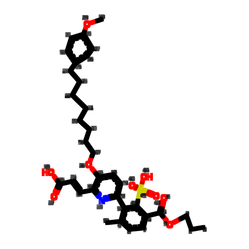 CCCOC(=O)c1ccc(C)c(-c2ccc(OCCCCCCCCc3ccc(OC)cc3)c(/C=C/C(=O)O)n2)c1S(=O)(=O)O